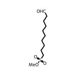 COS(=O)(=O)CCCCCCCCCC=O